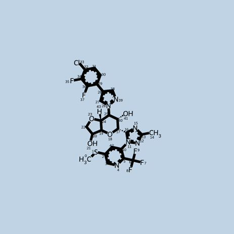 CSc1cnc(C(F)(F)F)c(-n2nc(C)nc2[C@@H]2OC3C(O)CO[C@@H]3C(n3cc(-c4ccc(Cl)c(F)c4F)cn3)[C@@H]2O)c1